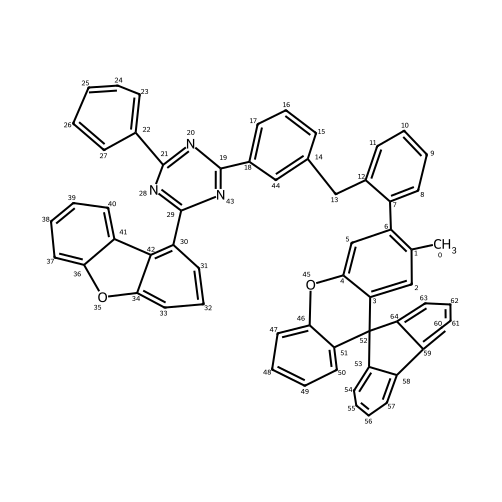 Cc1cc2c(cc1-c1ccccc1Cc1cccc(-c3nc(-c4ccccc4)nc(-c4cccc5oc6ccccc6c45)n3)c1)Oc1ccccc1C21c2ccccc2-c2ccccc21